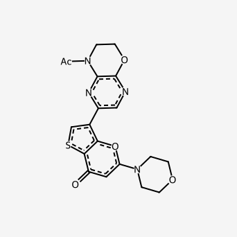 CC(=O)N1CCOc2ncc(-c3csc4c(=O)cc(N5CCOCC5)oc34)nc21